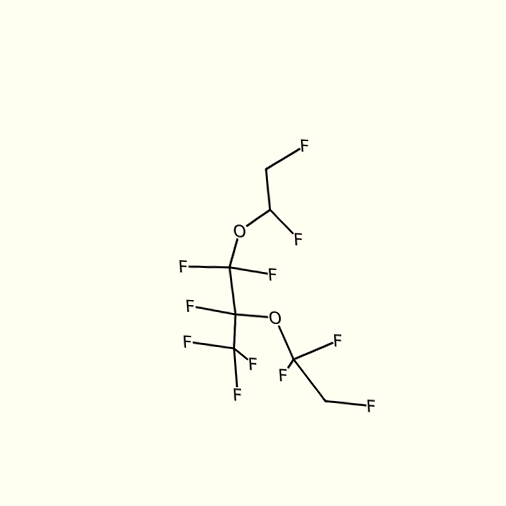 FCC(F)OC(F)(F)C(F)(OC(F)(F)CF)C(F)(F)F